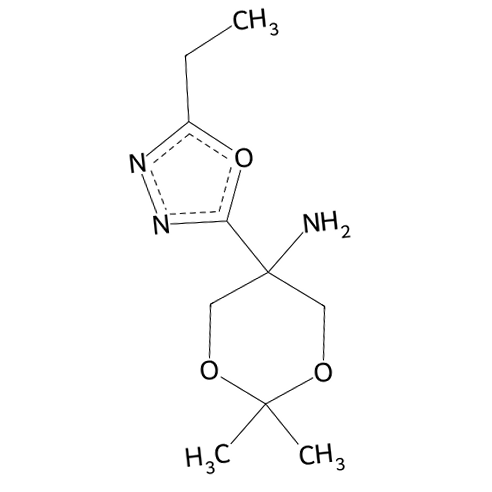 CCc1nnc(C2(N)COC(C)(C)OC2)o1